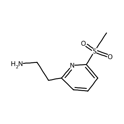 CS(=O)(=O)c1cccc(CCN)n1